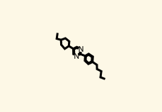 CCCCCc1ccc(-c2ncc(C3CCC(CC)CC3)cn2)cc1